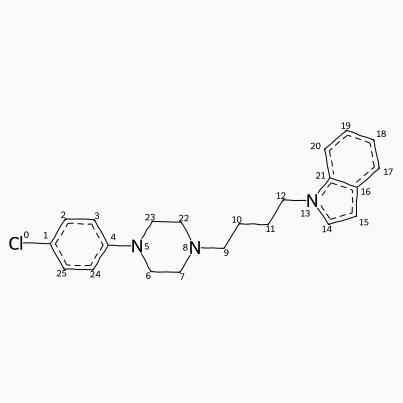 Clc1ccc(N2CCN(CCCCn3ccc4ccccc43)CC2)cc1